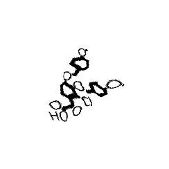 COc1ccc(COc2ccc(C(=O)C(=O)O)c(Cl)c2OCc2ccc(OC)cc2)cc1